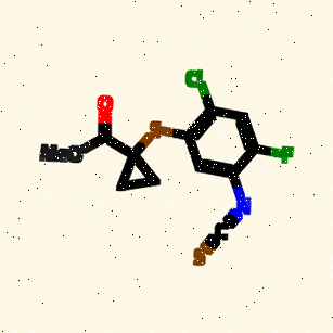 COC(=O)C1(Sc2cc(N=C=S)c(F)cc2Cl)CC1